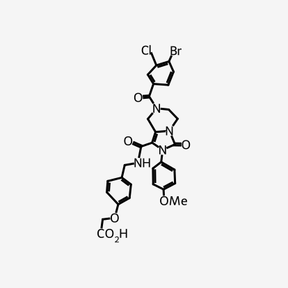 COc1ccc(-n2c(C(=O)NCc3ccc(OCC(=O)O)cc3)c3n(c2=O)CCN(C(=O)c2ccc(Br)c(Cl)c2)C3)cc1